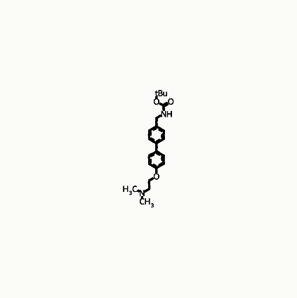 CN(C)CCOc1ccc(-c2ccc(CNC(=O)OC(C)(C)C)cc2)cc1